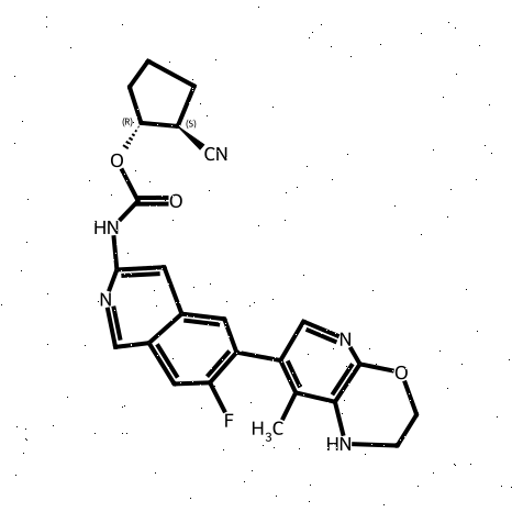 Cc1c(-c2cc3cc(NC(=O)O[C@@H]4CCC[C@H]4C#N)ncc3cc2F)cnc2c1NCCO2